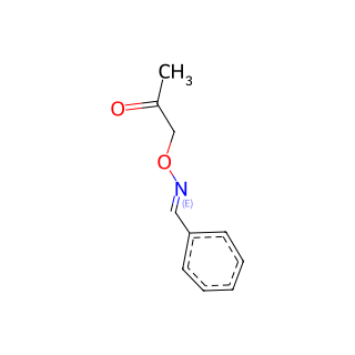 CC(=O)CO/N=C/c1ccccc1